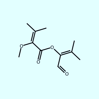 COC(C(=O)OC(C=O)=C(C)C)=C(C)C